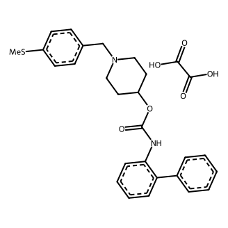 CSc1ccc(CN2CCC(OC(=O)Nc3ccccc3-c3ccccc3)CC2)cc1.O=C(O)C(=O)O